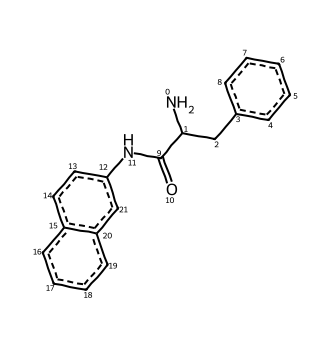 NC(Cc1ccccc1)C(=O)Nc1ccc2ccccc2c1